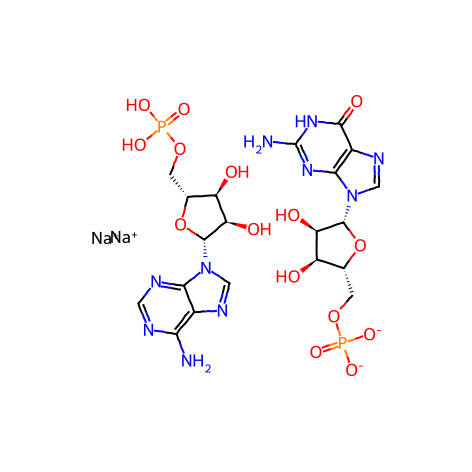 Nc1nc2c(ncn2[C@@H]2O[C@H](COP(=O)([O-])[O-])[C@@H](O)[C@H]2O)c(=O)[nH]1.Nc1ncnc2c1ncn2[C@@H]1O[C@H](COP(=O)(O)O)[C@@H](O)[C@H]1O.[Na+].[Na+]